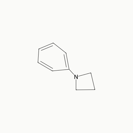 c1ccc(N2CCC2)cc1